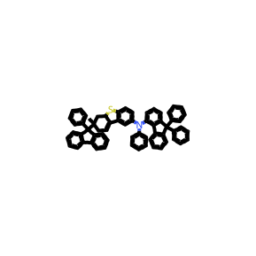 CC1(C2(c3ccccc3)c3ccccc3-c3ccccc32)CC=C2c3cc(N(c4ccccc4)c4cccc5c4-c4ccccc4C5(c4ccccc4)c4ccccc4)ccc3SC2C1